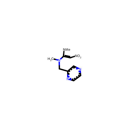 CNC(=C[N+](=O)[O-])N(C)Cc1cnccn1